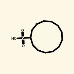 O=S(=O)(O)C1CCCCCCCCCCCC1